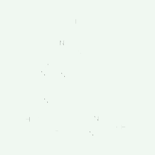 CCn1cc(-c2cc(-c3noc(-c4nc(C)cs4)n3)nc(C)c2F)cn1